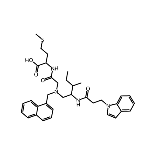 CCC(C)C(CN(CC(=O)NC(CCSC)C(=O)O)Cc1cccc2ccccc12)NC(=O)CCn1ccc2ccccc21